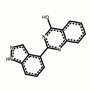 Oc1nc(-c2cccc3[nH]ncc23)nc2ccccc12